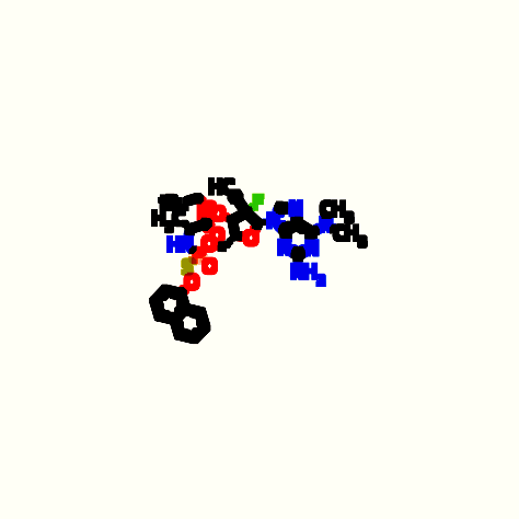 C#C[C@@]1(F)[C@H](O)[C@@H](COP(=O)(N[C@H](C)C(=O)OCC(C)(C)C)SOc2cccc3ccccc23)O[C@H]1n1cnc2c(N(C)C)nc(N)nc21